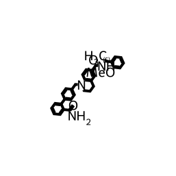 COc1ccccc1[C@H](C)NC(=O)c1ccc2c(c1)CCCN2Cc1ccc(-c2ccccc2C(N)=O)cc1